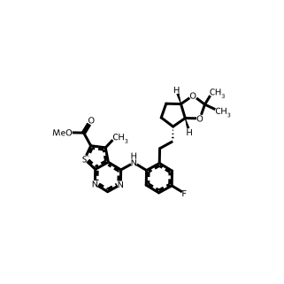 COC(=O)c1sc2ncnc(Nc3ccc(F)cc3CC[C@@H]3CC[C@@H]4OC(C)(C)O[C@H]34)c2c1C